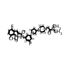 Cc1ccc(F)c2cc(C(=O)Nc3cc(F)cc(N4CC[C@@H](N5CCN(CC(=O)N(C)C)CC5)C4)c3)[nH]c12